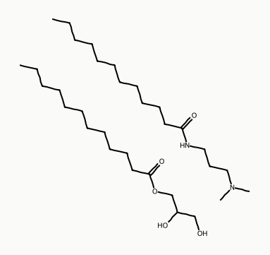 CCCCCCCCCCCC(=O)NCCCN(C)C.CCCCCCCCCCCC(=O)OCC(O)CO